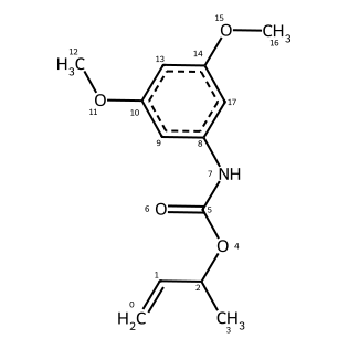 C=CC(C)OC(=O)Nc1cc(OC)cc(OC)c1